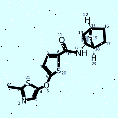 Cc1ncc(Oc2ccc(C(=O)N[C@@H]3C[C@H]4CC[C@@H]3N4)s2)s1